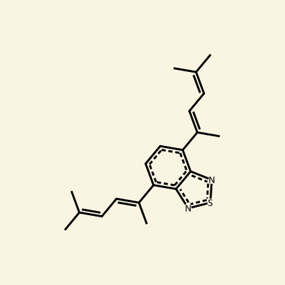 CC(C)=C/C=C(\C)c1ccc(/C(C)=C/C=C(C)C)c2nsnc12